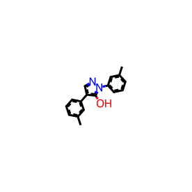 Cc1cccc(-c2cnn(-c3cccc(C)c3)c2O)c1